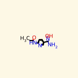 CCC(=O)Nc1ccc(/C(N)=N\O)cn1